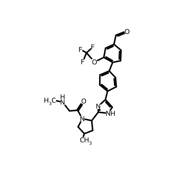 CNCC(=O)N1CC(C)CC1c1nc(-c2ccc(-c3ccc(C=O)cc3OC(F)(F)F)cc2)c[nH]1